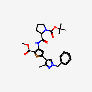 COC(=O)c1sc(-c2cn(Cc3ccccc3)nc2C)cc1NC(=O)C1CCCN1C(=O)OC(C)(C)C